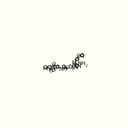 Nc1ncnc2c1c(-c1ccc(Oc3ccccc3)cc1)nn2C1CCC(CN2CCC[C@H](Nc3ccc4c(c3)C(=O)N(C3CCC(=O)NC3=O)C4=O)C2)CC1F